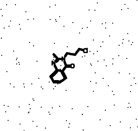 Cc1nc2ccccc2c(=O)n1CCCCl